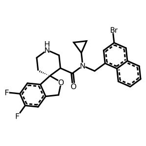 O=C(C1CNCC[C@@]12OCc1cc(F)c(F)cc12)N(Cc1cc(Br)cc2ccccc12)C1CC1